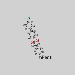 CCCCCC1CCC(C2COC(C3CC=C(C4CCC(CF)CC4)CC3)OC2)CC1